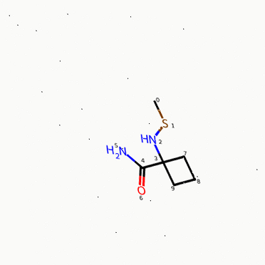 CSNC1(C(N)=O)CCC1